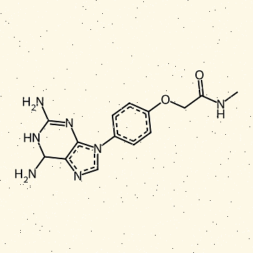 CNC(=O)COc1ccc(-n2cnc3c2N=C(N)NC3N)cc1